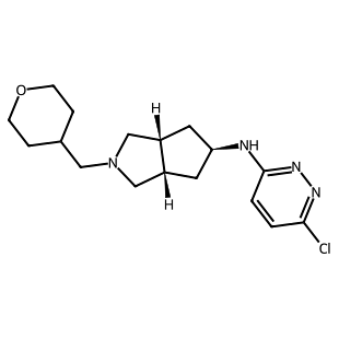 Clc1ccc(N[C@H]2C[C@@H]3CN(CC4CCOCC4)C[C@@H]3C2)nn1